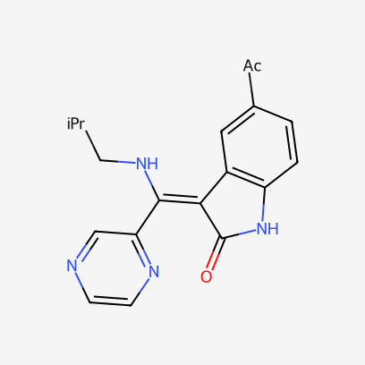 CC(=O)c1ccc2c(c1)C(=C(NCC(C)C)c1cnccn1)C(=O)N2